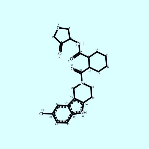 O=C1COCC1NC(=O)C1CCCCC1C(=O)N1CCc2[nH]c3ccc(Cl)cc3c2C1